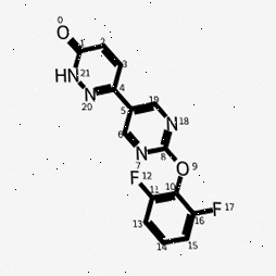 O=c1ccc(-c2cnc(Oc3c(F)cccc3F)nc2)n[nH]1